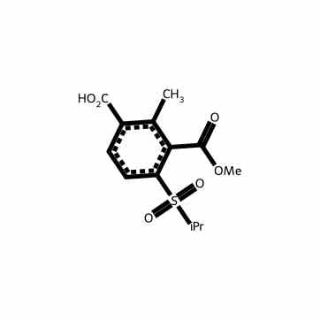 COC(=O)c1c(S(=O)(=O)C(C)C)ccc(C(=O)O)c1C